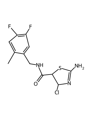 Cc1cc(F)c(F)cc1CNC(=O)C1SC(N)=NC1Cl